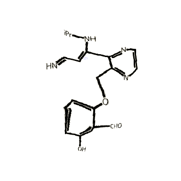 CC(C)N/C(=C\C=N)c1nccnc1COc1cccc(O)c1C=O